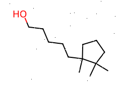 CC1(C)CCCC1(C)CCCCCO